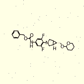 O=C(Nc1cc(F)c(N2CC3[C@H](COC4CCCCO4)[C@H]3C2)c(F)c1)OCc1ccccc1